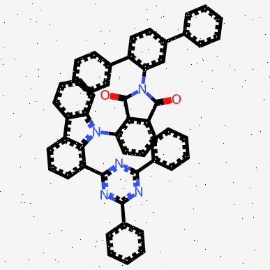 O=C1c2cccc(-n3c4ccccc4c4cccc(-c5nc(-c6ccccc6)nc(-c6ccccc6)n5)c43)c2C(=O)N1c1cc(-c2ccccc2)ccc1-c1ccccc1